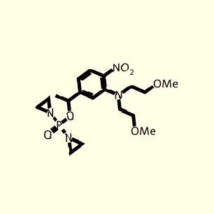 COCCN(CCOC)c1cc(C(C)OP(=O)(N2CC2)N2CC2)ccc1[N+](=O)[O-]